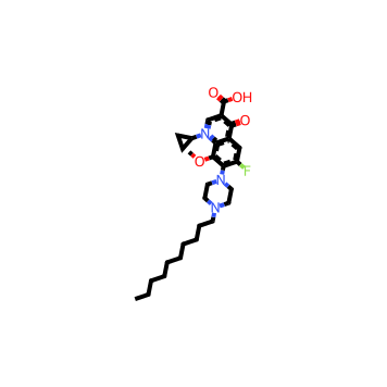 CCCCCCCCCCN1CCN(c2c(F)cc3c(=O)c(C(=O)O)cn(C4CC4)c3c2OC)CC1